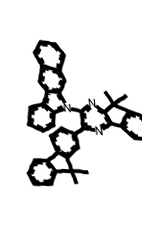 CC1(C)c2ccccc2-c2ccc(-c3nc4c(nc3-n3c5ccccc5c5cc6ccccc6cc53)C(C)(C)c3ccccc3-4)cc21